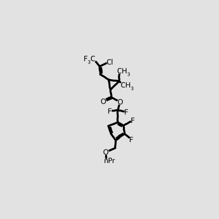 CCCOCc1ccc(C(F)(F)OC(=O)C2C(C=C(Cl)C(F)(F)F)C2(C)C)c(F)c1F